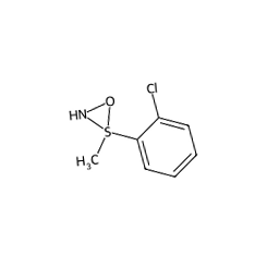 CS1(c2ccccc2Cl)NO1